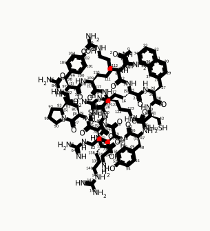 CC(=O)N[C@@H](CCCNC(N)=O)C(=O)N[C@@H](CCCNC(=N)N)C(=O)N[C@@H](Cc1ccc2ccccc2c1)C(=O)N[C@@H](CS)C(=O)N[C@@H](Cc1ccc(O)cc1)C(=O)N[C@@H](CCCNC(=N)N)C(=O)N[C@@H](CCCCN)C(=O)N[C@H](CCCNC(N)=O)C(=O)N1CCC[C@H]1C(=O)N[C@@H](Cc1ccc(O)cc1)C(=O)N[C@@H](CCCNC(=N)N)C(=O)N[C@@H](CCCNC(N)=O)C(=O)N[C@@H](CS)C(=O)N[C@@H](CCCNC(=N)N)C(=O)O